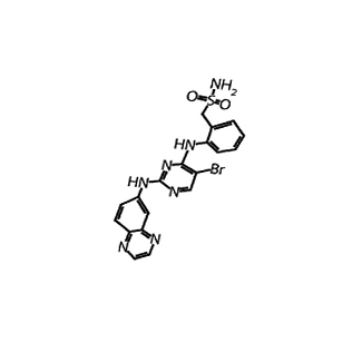 NS(=O)(=O)Cc1ccccc1Nc1nc(Nc2ccc3nccnc3c2)ncc1Br